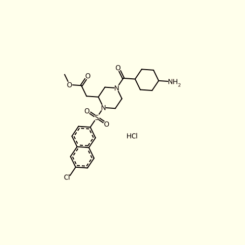 COC(=O)CC1CN(C(=O)C2CCC(N)CC2)CCN1S(=O)(=O)c1ccc2cc(Cl)ccc2c1.Cl